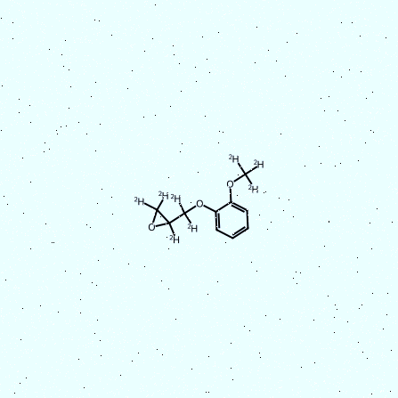 [2H]C([2H])([2H])Oc1ccccc1OC([2H])([2H])C1([2H])OC1([2H])[2H]